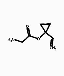 C=CC1(OC(=O)CC)CC1